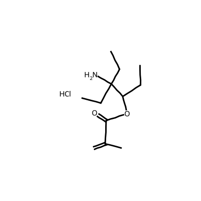 C=C(C)C(=O)OC(CC)C(N)(CC)CC.Cl